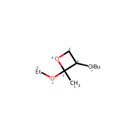 CCOC1(C)OCC1OCC(C)C